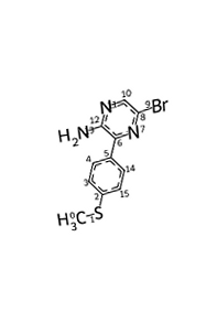 CSc1ccc(-c2nc(Br)cnc2N)cc1